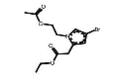 CCOC(=O)Cc1cc(Br)cn1CCOC(C)=O